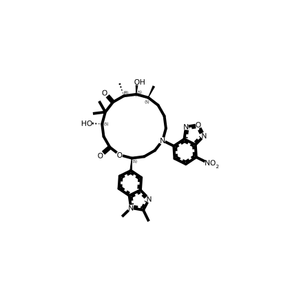 Cc1nc2cc([C@@H]3CCN(c4ccc([N+](=O)[O-])c5nonc45)CCC[C@H](C)[C@H](O)[C@@H](C)C(=O)C(C)(C)[C@@H](O)CC(=O)O3)ccc2n1C